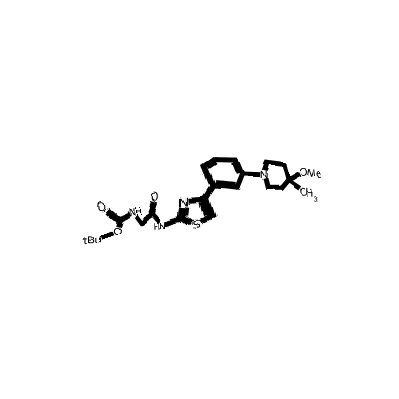 COC1(C)CCN(c2cccc(-c3csc(NC(=O)CNC(=O)OC(C)(C)C)n3)c2)CC1